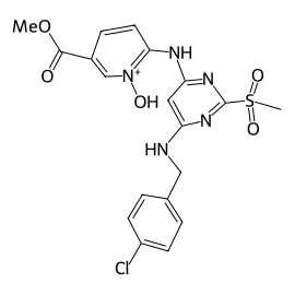 COC(=O)c1ccc(Nc2cc(NCc3ccc(Cl)cc3)nc(S(C)(=O)=O)n2)[n+](O)c1